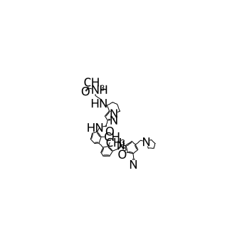 CC(=O)NCCNC1CCCn2nc(C(=O)Nc3cccc(-c4cccc(-c5nc6cc(CN7CCCC7)cc(C#N)c6o5)c4C)c3C)cc21